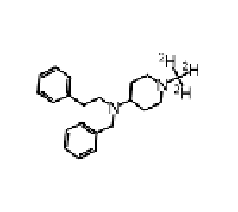 [2H]C([2H])([2H])N1CCC(N(CCc2ccccc2)Cc2ccccc2)CC1